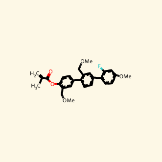 C=C(C)C(=O)Oc1ccc(-c2ccc(-c3ccc(OC)cc3F)cc2COC)cc1COC